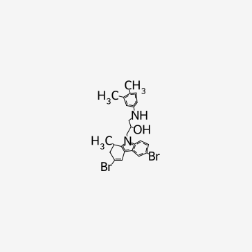 Cc1ccc(NCC(O)Cn2c3c(c4cc(Br)ccc42)C=C(Br)CC3C)cc1C